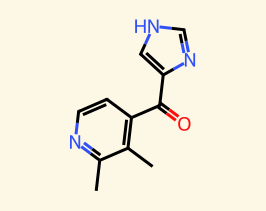 Cc1nccc(C(=O)c2c[nH]cn2)c1C